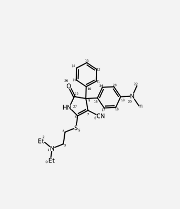 CCN(CC)CCSC1=C(C#N)C(c2ccccc2)(c2ccc(N(C)C)cc2)C(=O)N1